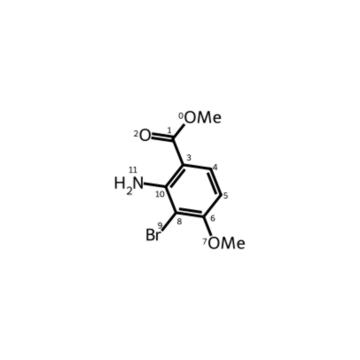 COC(=O)c1ccc(OC)c(Br)c1N